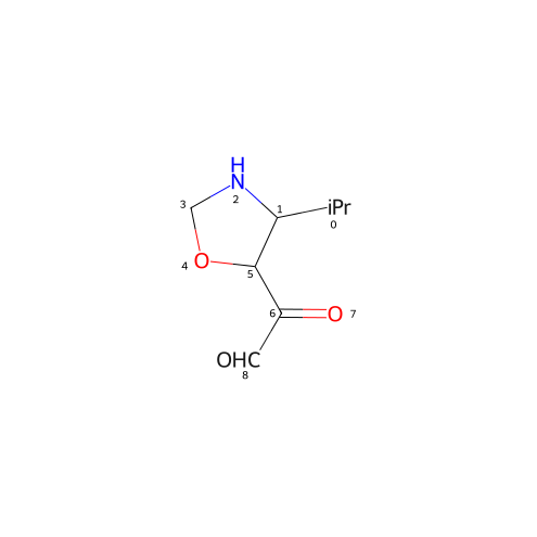 CC(C)C1NCOC1C(=O)C=O